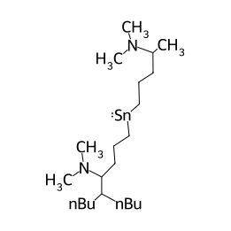 CCCCC(CCCC)C(CC[CH2][Sn][CH2]CCC(C)N(C)C)N(C)C